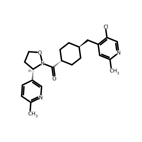 Cc1ccc([C@@H]2CCON2C(=O)[C@H]2CC[C@H](Cc3cc(C)ncc3Cl)CC2)cn1